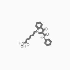 O=C(CCCCCn1cc(C(=O)Nc2ccccc2)c(=O)c2ccccc21)NO